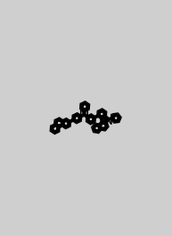 c1ccc(N(c2ccc(-c3ccc4c(ccc5ccccc54)c3)cc2)c2cccc(-c3cccc4c3c3c5ccccc5ccc3n4-c3ccccc3)c2)cc1